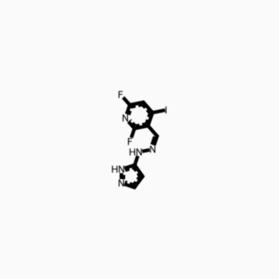 Fc1cc(I)c(/C=N\Nc2ccn[nH]2)c(F)n1